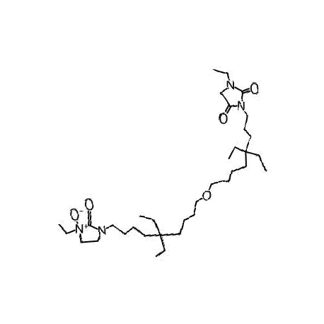 CCN1CC(=O)N(CCCC(CC)(CC)CCCCOCCCCC(CC)(CC)CCCCN2CC[N+]([O-])(CC)C2=O)C1=O